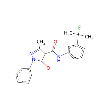 CC1=NN(c2ccccc2)C(=O)C1C(=O)Nc1cccc(C(C)(C)F)c1